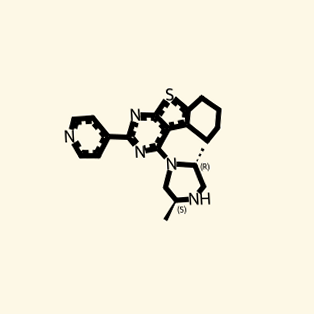 C[C@@H]1CN[C@@H](C)CN1c1nc(-c2ccncc2)nc2sc3c(c12)CCCC3